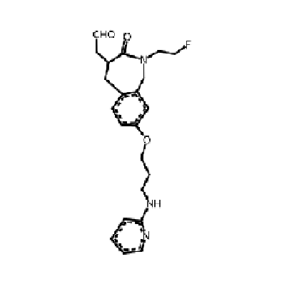 O=CCC1Cc2ccc(OCCCNc3ccccn3)cc2CN(CCF)C1=O